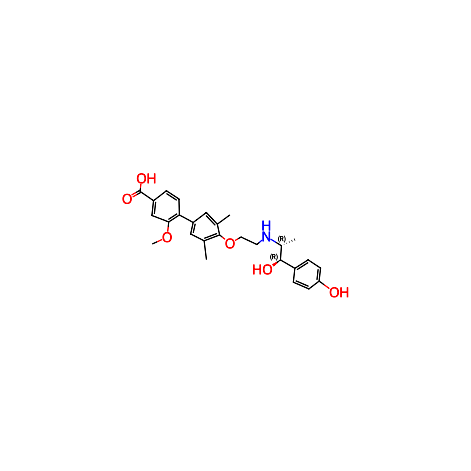 COc1cc(C(=O)O)ccc1-c1cc(C)c(OCCN[C@H](C)[C@H](O)c2ccc(O)cc2)c(C)c1